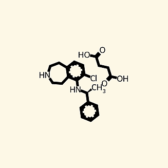 C[C@H](Nc1c(Cl)ccc2c1CCNCC2)c1ccccc1.O=C(O)CCC(=O)O